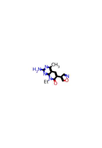 CCn1c(=O)c(-c2cnoc2)cc2c(C)nc(N)nc21